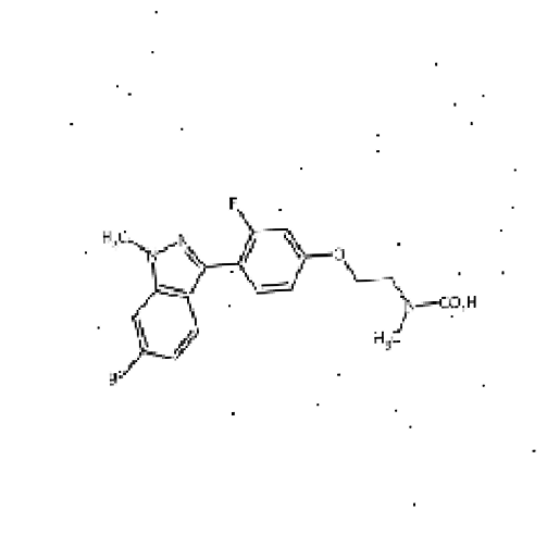 CN(CCOc1ccc(-c2nn(C)c3cc(Br)ccc23)c(F)c1)C(=O)O